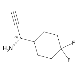 C#C[C@@H](N)C1CCC(F)(F)CC1